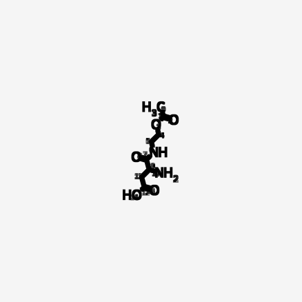 CC(=O)OCCNC(=O)C(N)CC(=O)O